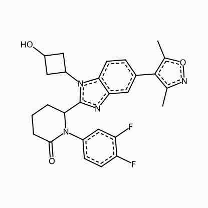 Cc1noc(C)c1-c1ccc2c(c1)nc(C1CCCC(=O)N1c1ccc(F)c(F)c1)n2C1CC(O)C1